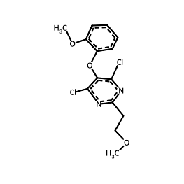 COCCc1nc(Cl)c(Oc2ccccc2OC)c(Cl)n1